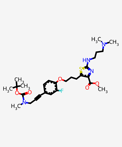 COC(=O)c1nc(NCCCN(C)C)sc1CCCOc1ccc(C#CCN(C)C(=O)OC(C)(C)C)cc1F